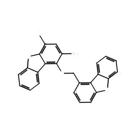 Nc1cc(Cl)c2oc3ccccc3c2c1SCc1cccc2oc3ccccc3c12